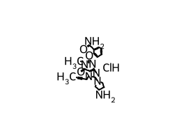 CC#CCn1c(N2CCC(N)C2)nc2nc(Oc3ccccc3C(N)=O)n(C)c(=O)c21.Cl